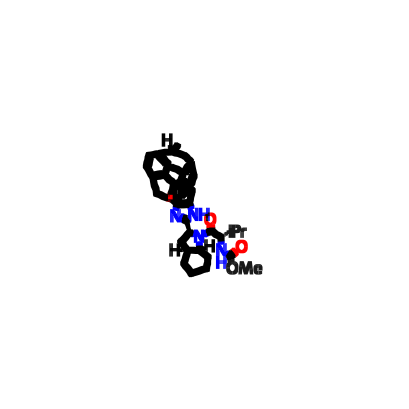 COC(=O)N[C@H](C(=O)N1[C@H](c2nc3cc(-c4cc5ccc4CCc4ccc(c(C)c4)C[C@H]5C)ccc3[nH]2)C[C@@H]2CCCC[C@@H]21)C(C)C